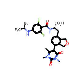 CC[C@@H](Nc1cc(F)c(C(=O)N[C@@H](Cc2ccc(-c3c(C)n(C)c(=O)n(C)c3=O)c3c2COC3)C(=O)O)c(F)c1)C(F)(F)F